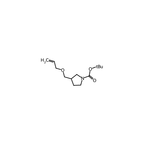 C=CCOCC1CCN(C(=O)OC(C)(C)C)C1